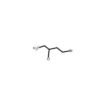 CCC(Cl)CCBr